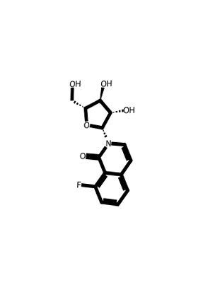 O=c1c2c(F)cccc2ccn1[C@@H]1O[C@H](CO)[C@@H](O)[C@@H]1O